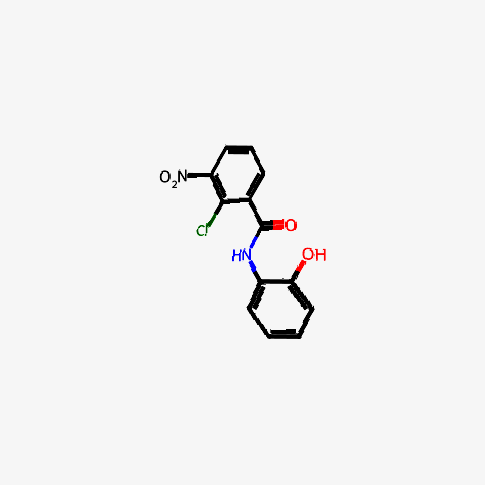 O=C(Nc1ccccc1O)c1cccc([N+](=O)[O-])c1Cl